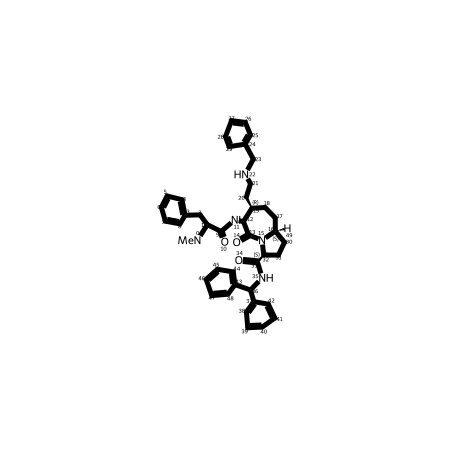 CNC(Cc1ccccc1)C(=O)NC1C(=O)N2[C@@H](CC[C@@H]1CCNCc1ccccc1)CC[C@H]2C(=O)NC(c1ccccc1)c1ccccc1